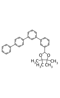 CC1(C)OC(c2cccc(-c3cccc(-c4ccc(-c5ccccc5)cc4)c3)c2)OC1(C)C